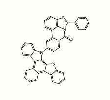 O=c1c2ccc(-n3c4ccccc4c4c5ccccc5c5c6ccccc6sc5c43)cc2c2cccc3nc(-c4ccccc4)n1c32